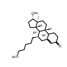 CC(=O)OCCCCC[C@@H]1CC2=CC(=O)CC[C@@H]2[C@H]2CC[C@]3(C)[C@@H](OC(C)=O)CC[C@H]3[C@H]12